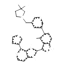 Fc1c(-c2cncc(CN3CCC(F)(F)C3)c2)ccc2[nH]nc(-c3nc4c(-c5ccsc5)nccc4[nH]3)c12